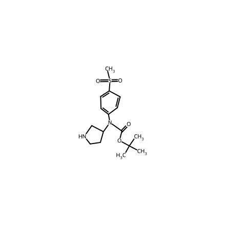 CC(C)(C)OC(=O)N(c1ccc(S(C)(=O)=O)cc1)C1CCNC1